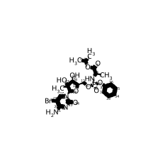 CC(C)OC(=O)[C@@H](C)N[P@@](=O)(OC[C@H]1O[C@@H](n2cc(Br)c(N)nc2=O)[C@](C)(O)[C@@H]1O)Oc1ccccc1